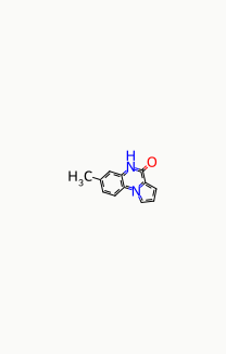 Cc1ccc2c(c1)[nH]c(=O)c1cccn12